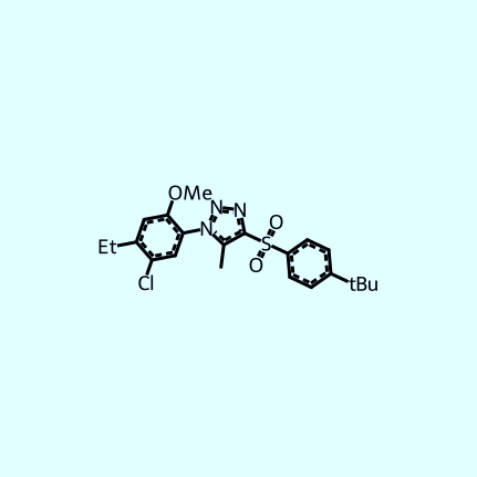 CCc1cc(OC)c(-n2nnc(S(=O)(=O)c3ccc(C(C)(C)C)cc3)c2C)cc1Cl